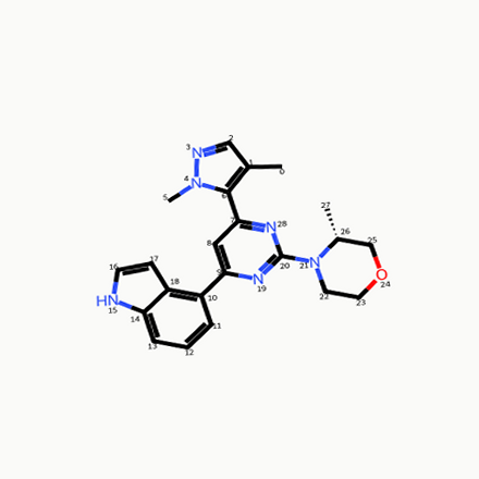 Cc1cnn(C)c1-c1cc(-c2cccc3[nH]ccc23)nc(N2CCOC[C@H]2C)n1